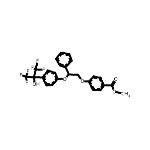 COC(=O)c1ccc(OCC(Oc2ccc(C(O)(C(F)(F)F)C(F)(F)F)cc2)c2ccccc2)cc1